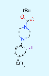 CC(C)(C)OC(=O)N1CCN(c2ccc([N+](=O)[O-])cc2I)CC1